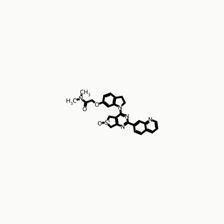 CN(C)C(=O)COc1ccc2c(c1)N(c1nc(-c3ccc4cccnc4c3)nc3c1C[S+]([O-])C3)CC2